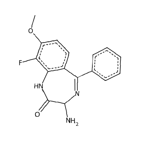 COc1ccc2c(c1F)NC(=O)C(N)N=C2c1ccccc1